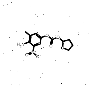 Cc1cc(OC(=O)OC2CCCO2)cc([N+](=O)[O-])c1N